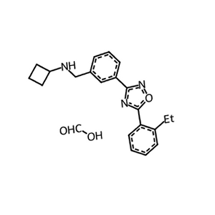 CCc1ccccc1-c1nc(-c2cccc(CNC3CCC3)c2)no1.O=CO